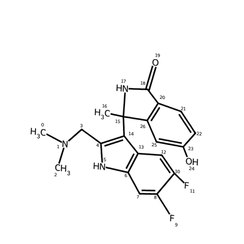 CN(C)Cc1[nH]c2cc(F)c(F)cc2c1C1(C)NC(=O)c2ccc(O)cc21